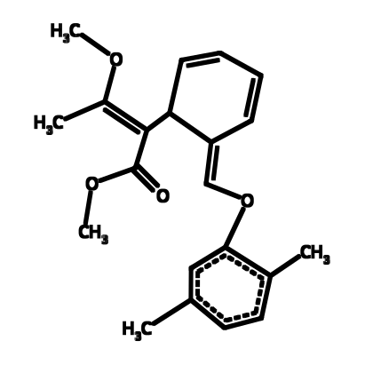 COC(=O)C(=C(C)OC)C1C=CC=CC1=COc1cc(C)ccc1C